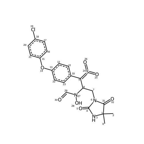 CC1(C)NC(=O)N(CC(C(c2ccc(Oc3ccc(Cl)cc3)cc2)=S(=O)=O)N(O)C=O)C1=O